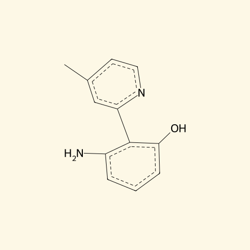 Cc1ccnc(-c2c(N)cccc2O)c1